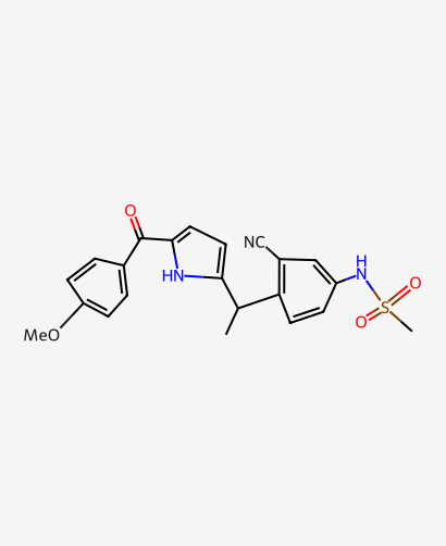 COc1ccc(C(=O)c2ccc(C(C)c3ccc(NS(C)(=O)=O)cc3C#N)[nH]2)cc1